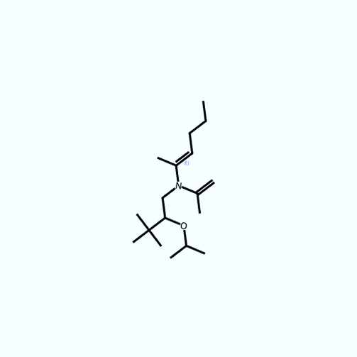 C=C(C)N(CC(OC(C)C)C(C)(C)C)/C(C)=C/CCC